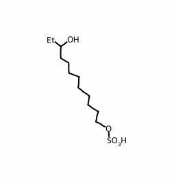 CCC(O)CCCCCCCCCOS(=O)(=O)O